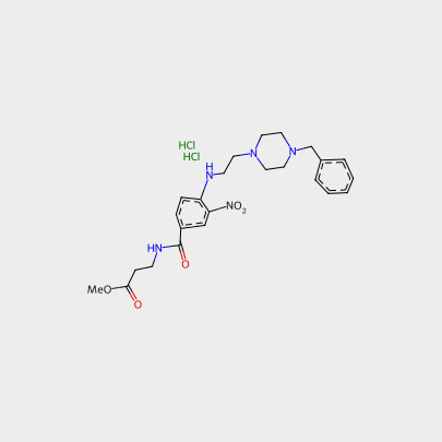 COC(=O)CCNC(=O)c1ccc(NCCN2CCN(Cc3ccccc3)CC2)c([N+](=O)[O-])c1.Cl.Cl